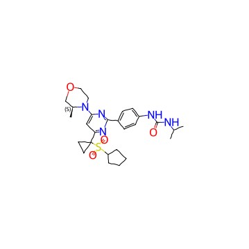 CC(C)NC(=O)Nc1ccc(-c2nc(N3CCOC[C@@H]3C)cc(C3(S(=O)(=O)C4CCCC4)CC3)n2)cc1